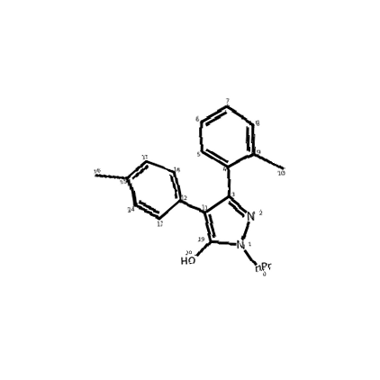 CCCn1nc(-c2ccccc2C)c(-c2ccc(C)cc2)c1O